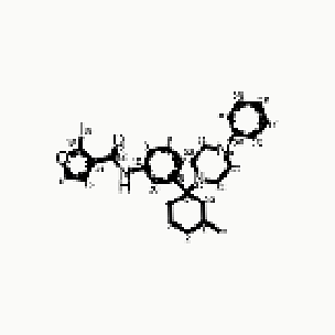 CC1CCCC(c2cccc(NC(=O)c3ccoc3I)c2)(N2CCN(c3ccccc3)CC2)C1